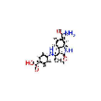 C/C(Nc1ccc(C(=O)O)cc1)=C1\C(=O)Nc2cc(C(N)=O)ccc21